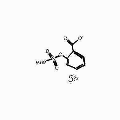 O.O.O=C([O-])c1ccccc1OS(=O)(=O)O.[Na+]